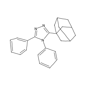 c1ccc(-c2nnc(C34CC5CC(CC(C5)C3)C4)n2-c2ccccc2)cc1